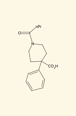 CCCC(=O)N1CCC(C(=O)O)(c2ccccc2)CC1